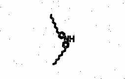 CCCCCCCCc1ccc(Nc2ccc(CCCCCCCC)cc2)cc1